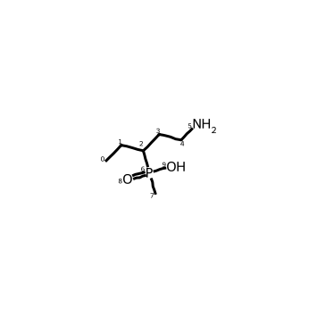 CCC(CCN)P(C)(=O)O